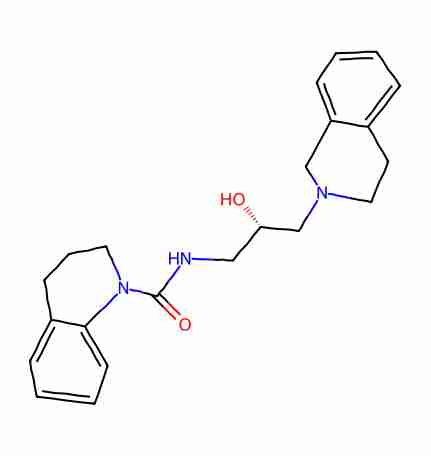 O=C(NC[C@H](O)CN1CCc2ccccc2C1)N1CCCc2ccccc21